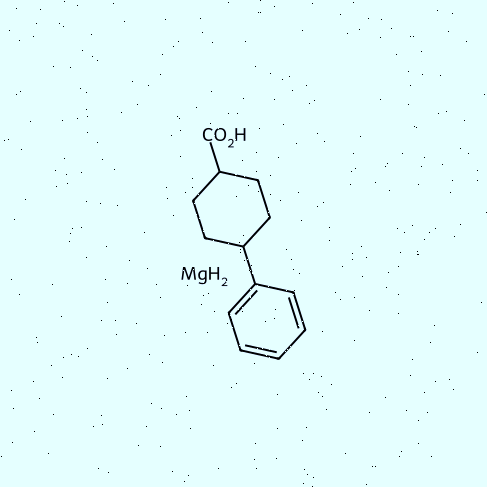 O=C(O)C1CCC(c2ccccc2)CC1.[MgH2]